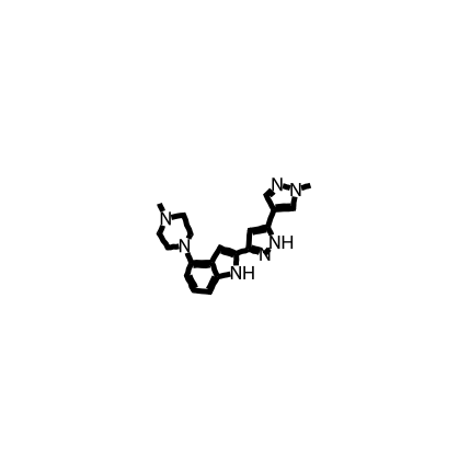 CN1CCN(c2cccc3[nH]c(-c4cc(-c5cnn(C)c5)[nH]n4)cc23)CC1